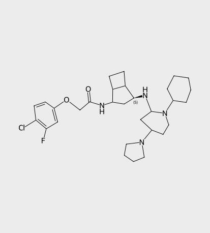 O=C(COc1ccc(Cl)c(F)c1)NC1C[C@H](NC2CC(N3CCCC3)CCN2C2CCCCC2)C2CCC12